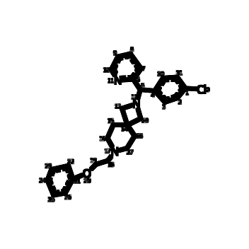 Clc1ccc(C(c2ccccn2)N2CC3(CCN(CCOc4ccccc4)CC3)C2)cc1